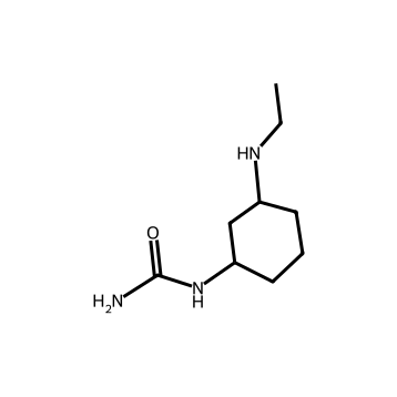 CCNC1CCCC(NC(N)=O)C1